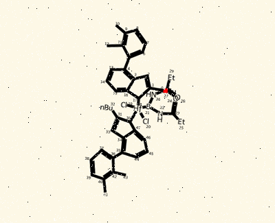 CCCCC1=Cc2c(-c3cccc(C)c3C)cccc2[CH]1[Hf]([Cl])([Cl])([B](NC(=O)CC)NC(=O)CC)[CH]1C(CCCC)=Cc2c(-c3cccc(C)c3C)cccc21